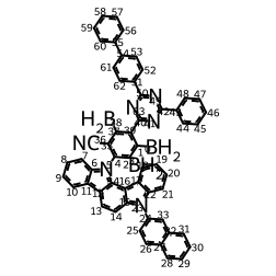 Bc1c(B)c(-n2c3ccccc3c3ccc4c(c5ccccc5n4-c4ccc5ccccc5c4)c32)c(C#N)c(B)c1-c1nc(-c2ccccc2)nc(-c2ccc(-c3ccccc3)cc2)n1